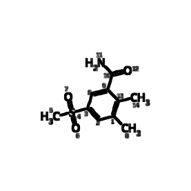 Cc1cc(S(C)(=O)=O)cc(C(N)=O)c1C